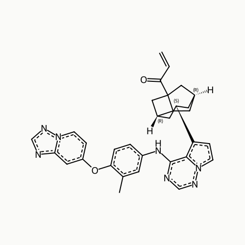 C=CC(=O)C12C[C@H]3CC1[C@H](C[C@@H](c1ccn4ncnc(Nc5ccc(Oc6ccn7ncnc7c6)c(C)c5)c14)C3)C2